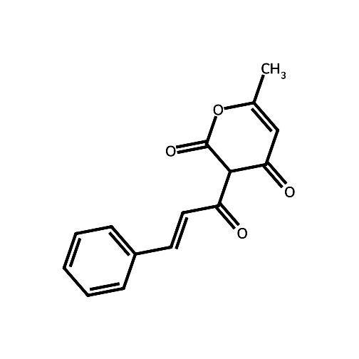 CC1=CC(=O)C(C(=O)C=Cc2ccccc2)C(=O)O1